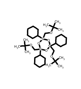 CC(C)(C)OC[Si]1(C2CCCCC2)O[Si](COC(C)(C)C)(C2CCCCC2)O[Si](COC(C)(C)C)(C2CCCCC2)O1